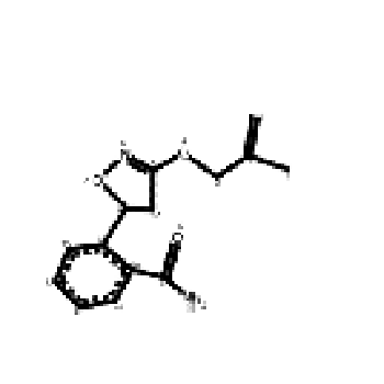 C=C(C)COC1=NOC(c2ccccc2C(N)=O)C1